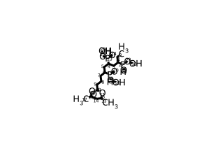 CCC(CC(CC(CCCC12OC(C)C(O1)C(C)O2)[PH](=O)OO)[PH](=O)OO)[PH](=O)OO